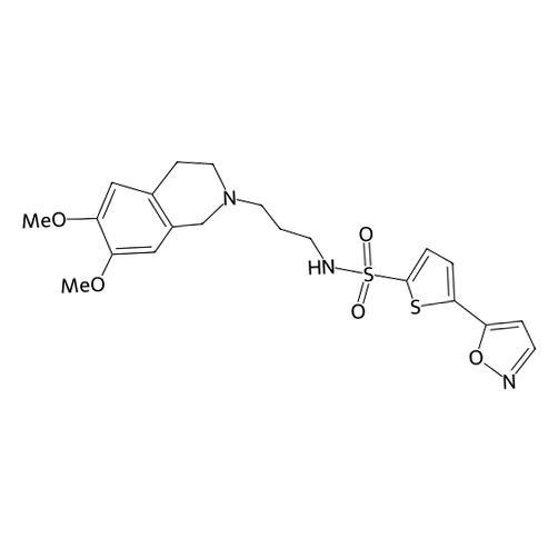 COc1cc2c(cc1OC)CN(CCCNS(=O)(=O)c1ccc(-c3ccno3)s1)CC2